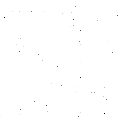 Cc1cccc(C(N)=O)c1C=CCBr